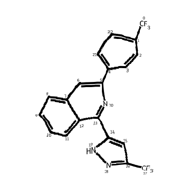 FC(F)(F)c1ccc(-c2cc3ccccc3c(-c3cc(C(F)(F)F)n[nH]3)n2)cc1